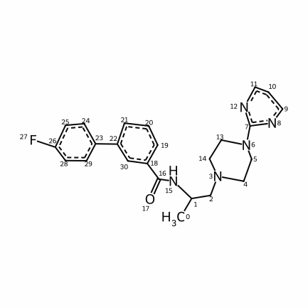 CC(CN1CCN(c2ncccn2)CC1)NC(=O)c1cccc(-c2ccc(F)cc2)c1